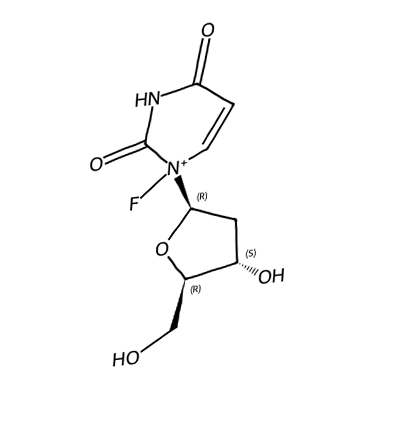 O=C1C=C[N+](F)([C@H]2C[C@H](O)[C@@H](CO)O2)C(=O)N1